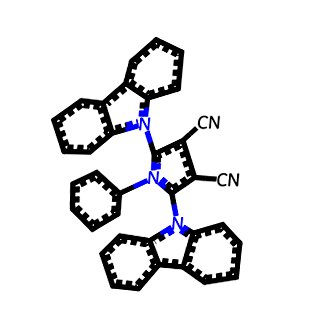 N#Cc1c(C#N)c(-n2c3ccccc3c3ccccc32)n(-c2ccccc2)c1-n1c2ccccc2c2ccccc21